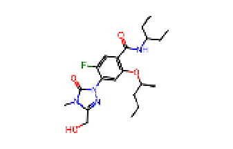 CCC[C@H](C)Oc1cc(-n2nc(CO)n(C)c2=O)c(F)cc1C(=O)NC(CC)CC